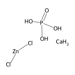 O=P(O)(O)O.[CaH2].[Cl][Zn][Cl]